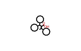 CC(=C(C(=O)O)C(C1CCCCCCCCC1)C1CCCCCCCCC1)C1CCCCCCCCC1